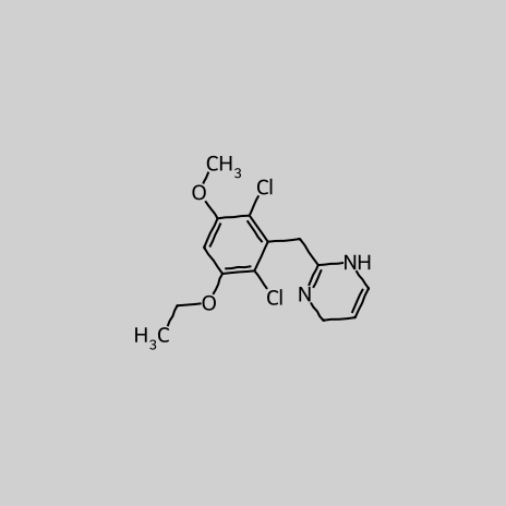 CCOc1cc(OC)c(Cl)c(CC2=NCC=CN2)c1Cl